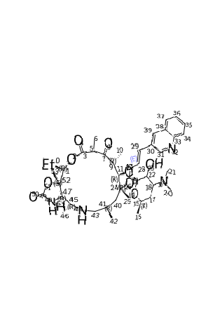 CC[C@H]1OC(=O)C(C)C(=O)[C@H](C)[C@@H](O[C@@H]2O[C@H](C)CC(N(C)C)C2O)[C@](C)(OC/C=C/c2cnc3ccccc3c2)C[C@@H](C)CN[C@H](C)[C@H]2NC(=O)O[C@@]21C